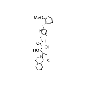 COc1ccccc1Cc1csc(CNC(=O)[C@H](O)[C@@H](O)C(=O)N2CCc3ccccc3C2C2CC2)n1